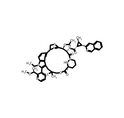 CCO[C@@H]1C2=NC(CS2)c2ccc3c(c2)c(c(-c2cccnc2[C@H](C)OC)n3CC)CC(C)(C)COC(=O)[C@@H]2CCCN(N2)C(=O)[C@H]1NC(=O)[C@@H]1[C@@H](C)[C@H]1c1cc2ccccc2cn1